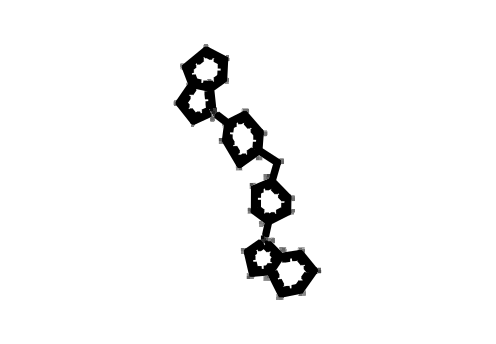 c1ccc2c(c1)ccn2-c1ccc(Cc2ccc(-n3ccc4ccccc43)cc2)cc1